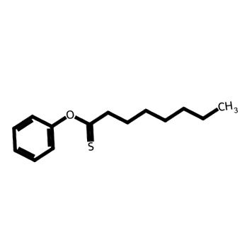 CCCCCCCC(=S)Oc1ccccc1